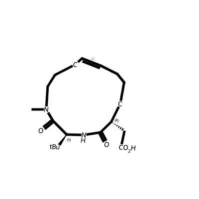 CN1CCC/C=C/CCC[C@H](CC(=O)O)C(=O)N[C@@H](C(C)(C)C)C1=O